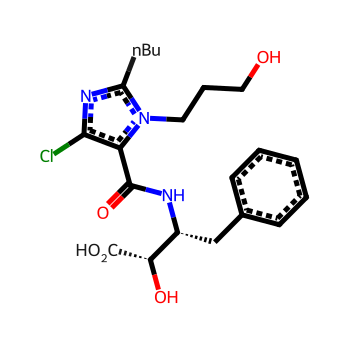 CCCCc1nc(Cl)c(C(=O)N[C@H](Cc2ccccc2)[C@H](O)C(=O)O)n1CCCO